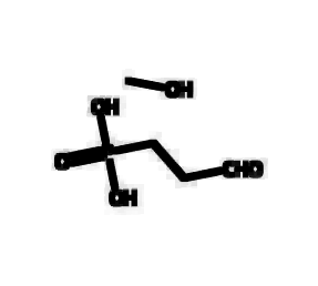 CO.O=CCCP(=O)(O)O